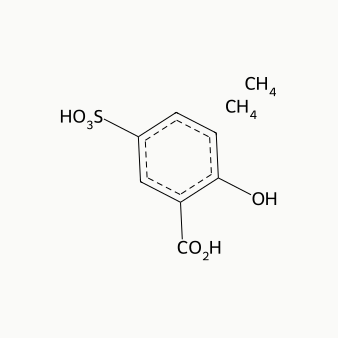 C.C.O=C(O)c1cc(S(=O)(=O)O)ccc1O